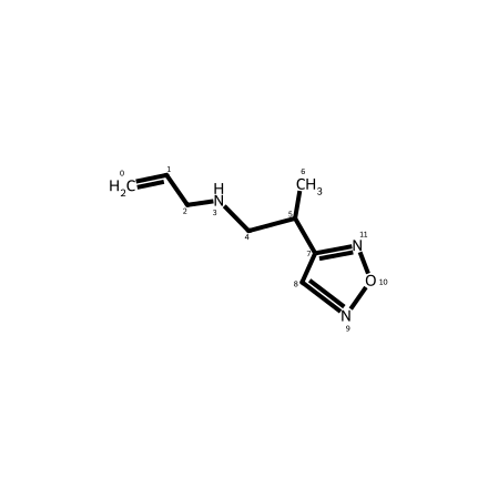 C=CCNCC(C)c1cnon1